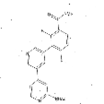 CNC(=O)c1ccc(F)c(-c2cncc(-c3ccnc(NC(C)=O)c3)c2)c1F